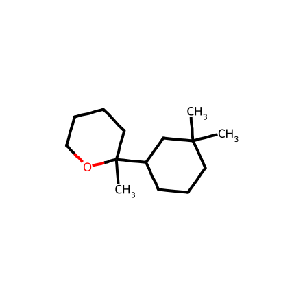 CC1(C)CCCC(C2(C)CCCCO2)C1